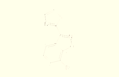 Brc1cccc2c(-c3nccs3)noc12